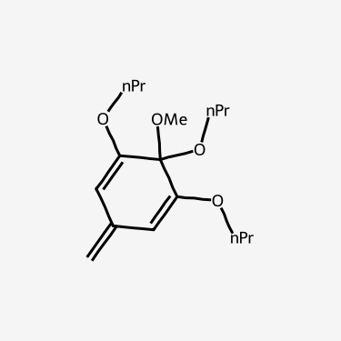 C=C1C=C(OCCC)C(OC)(OCCC)C(OCCC)=C1